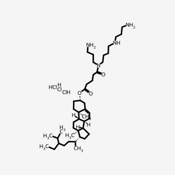 CCC(CCC(C)[C@H]1CC[C@H]2[C@@H]3CC=C4C[C@@H](OC(=O)CCCC(=O)N(CCCN)CCCCNCCCN)CC[C@]4(C)[C@H]3CC[C@]12C)C(C)C.Cl.Cl.Cl